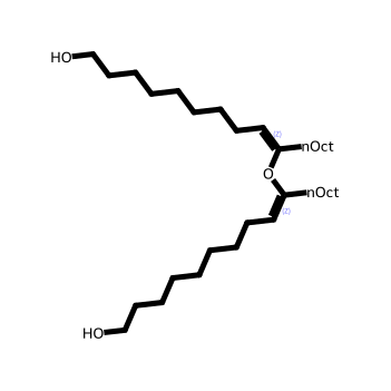 CCCCCCCC/C(=C/CCCCCCCCO)O/C(=C\CCCCCCCCO)CCCCCCCC